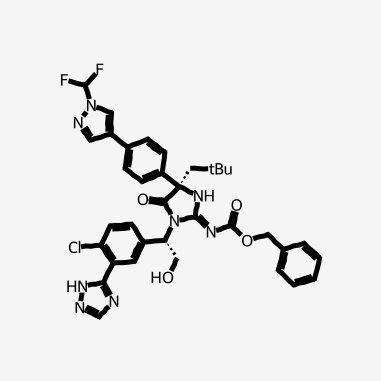 CC(C)(C)C[C@]1(c2ccc(-c3cnn(C(F)F)c3)cc2)N/C(=N\C(=O)OCc2ccccc2)N([C@H](CO)c2ccc(Cl)c(-c3ncn[nH]3)c2)C1=O